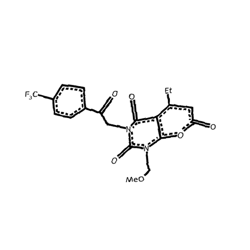 CCc1cc(=O)oc2c1c(=O)n(CC(=O)c1ccc(C(F)(F)F)cc1)c(=O)n2COC